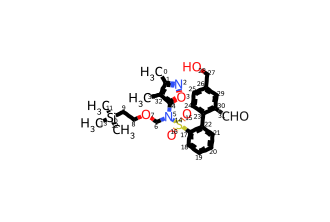 Cc1noc(N(COCC[Si](C)(C)C)S(=O)(=O)c2ccccc2-c2ccc(CO)cc2C=O)c1C